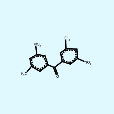 O=C(c1cc([N+](=O)[O-])cc(C(F)(F)F)c1)c1cc([N+](=O)[O-])cc(C(F)(F)F)c1